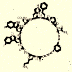 NCCCC[C@@H]1NC(=O)CCSCc2cccc(c2)CSC[C@@H](C(N)=O)NC(=O)[C@@H]2CCCN2C(=O)[C@H](CCc2ccccc2)NC(=O)[C@H](Cc2c[nH]cn2)NC(=O)[C@H](CC(=O)O)NC(=O)[C@H](Cc2c[nH]c3ccc(F)cc23)NC(=O)[C@H](Cc2c[nH]c3ccc(F)cc23)NC(=O)CNC1=O